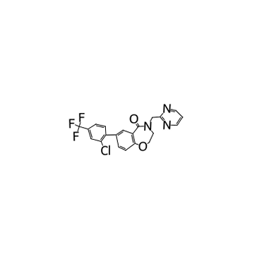 O=C1c2cc(-c3ccc(C(F)(F)F)cc3Cl)ccc2OCCN1Cc1ncccn1